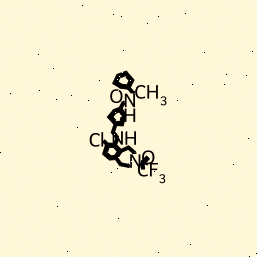 C[C@@H](NC(=O)c1ccc(CNc2c(Cl)ccc3c2CCN(C(=O)C(F)(F)F)CC3)cc1)c1ccccc1